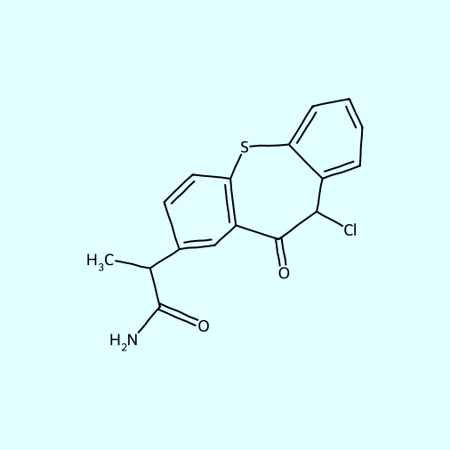 CC(C(N)=O)c1ccc2c(c1)C(=O)C(Cl)c1ccccc1S2